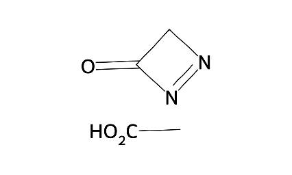 CC(=O)O.O=C1CN=N1